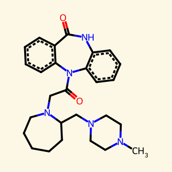 CN1CCN(CC2CCCCCN2CC(=O)N2c3ccccc3NC(=O)c3ccccc32)CC1